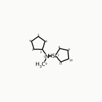 CN(C1CCCC1)[SiH]1CCCC1